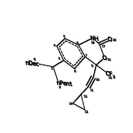 CCCCCCCCCCC(CCCCC)c1ccc2c(c1)C(C#CC1CC1)(C(F)(F)F)OC(=O)N2